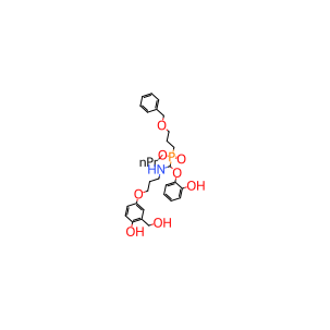 CCCOP(=O)(CCCOCc1ccccc1)C(NCCCOc1ccc(O)c(CO)c1)Oc1ccccc1O